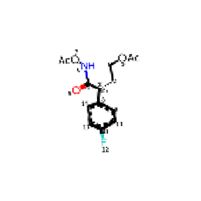 CC(=O)OCC[C@@H](C(=O)NOC(C)=O)c1ccc(F)cc1